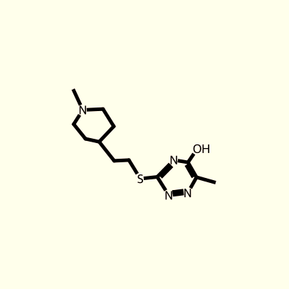 Cc1nnc(SCCC2CCN(C)CC2)nc1O